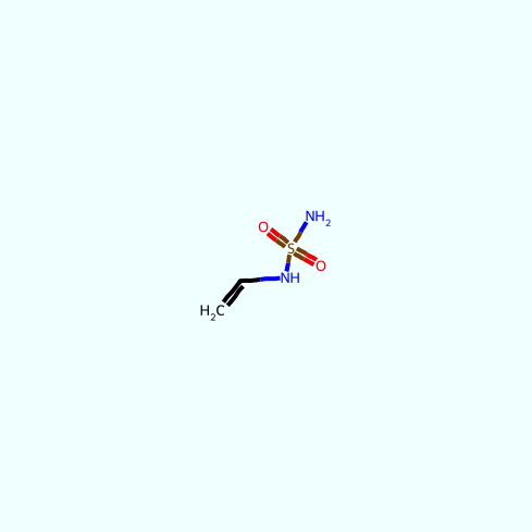 C=CNS(N)(=O)=O